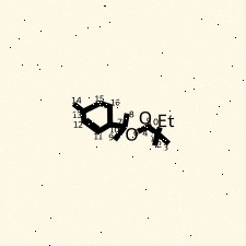 CCC(C)(C)C(=O)OC(C)(C)C1C=CC(C)CC1